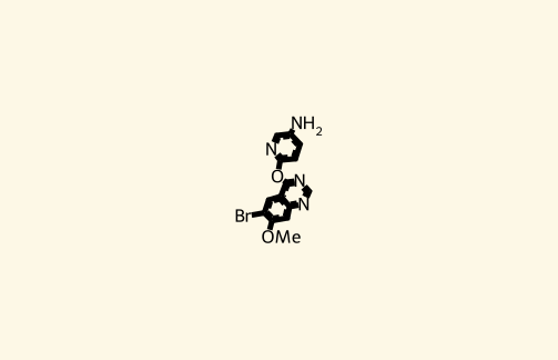 COc1cc2ncnc(Oc3ccc(N)cn3)c2cc1Br